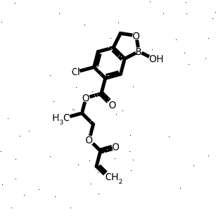 C=CC(=O)OCC(C)OC(=O)c1cc2c(cc1Cl)COB2O